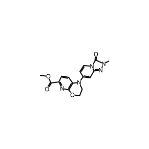 COC(=O)c1ccc2c(n1)OCCN2c1ccn2c(=O)n(C)nc2c1